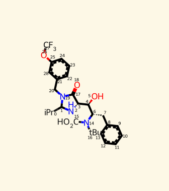 CC(C)C1N[C@@H]([C@@H](O)[C@H](Cc2ccccc2)N(C(=O)O)C(C)(C)C)C(=O)N1Cc1cccc(OC(F)(F)F)c1